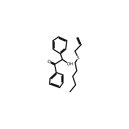 C=CCSCCCCC.O=C(c1ccccc1)C(O)c1ccccc1